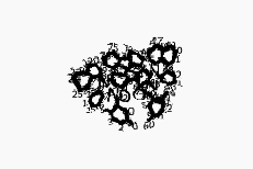 Cc1ccc(C)c(-c2nc3c(N(c4ccccc4)c4cccc5ccccc45)cc4c(c3o2)-c2c(cc(N(c3ccccc3)c3cccc5ccccc35)c3nc(-c5cc(C)ccc5C)oc23)C42c3ccccc3-c3ccccc32)c1